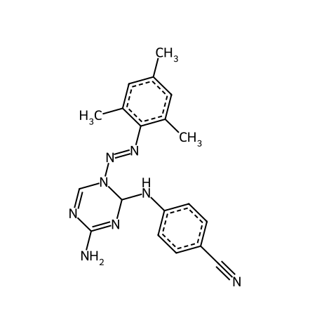 Cc1cc(C)c(N=NN2C=NC(N)=NC2Nc2ccc(C#N)cc2)c(C)c1